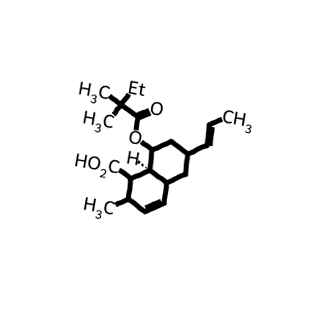 C/C=C/C1CC2C=CC(C)C(C(=O)O)[C@H]2C(OC(=O)C(C)(C)CC)C1